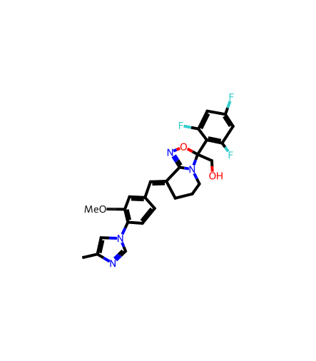 COc1cc(/C=C2\CCCN3C2=NOC3(CO)c2c(F)cc(F)cc2F)ccc1-n1cnc(C)c1